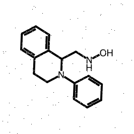 ONCC1c2ccccc2CCN1c1ccccc1